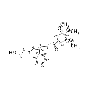 CCCCC[C@@H](CCCC(=O)c1cc(OC)c(OC)c(OC)c1)c1ccccc1